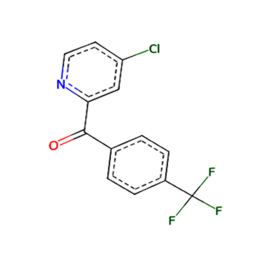 O=C(c1ccc(C(F)(F)F)cc1)c1cc(Cl)ccn1